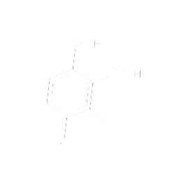 Cc1c(Cl)ccc(C(=O)O)c1C(=O)O